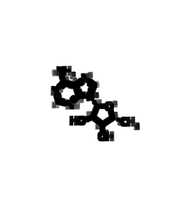 C[C@H]1O[C@@H](n2cnc3c(N)ncnc32)C(O)C1O